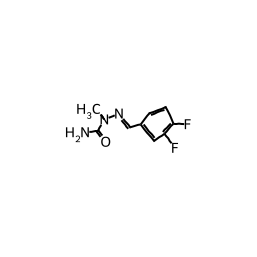 CN(N=Cc1ccc(F)c(F)c1)C(N)=O